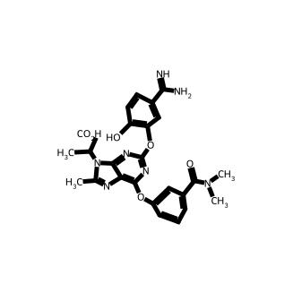 Cc1nc2c(Oc3cccc(C(=O)N(C)C)c3)nc(Oc3cc(C(=N)N)ccc3O)nc2n1C(C)C(=O)O